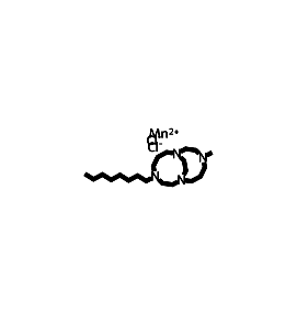 CCCCCCCCN1CCCN2CCN(C)CCCN(CC1)CC2.[Cl-].[Cl-].[Mn+2]